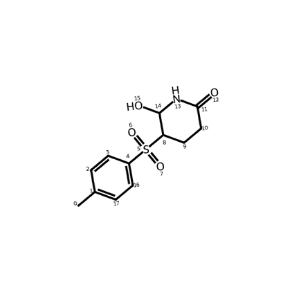 Cc1ccc(S(=O)(=O)C2CCC(=O)NC2O)cc1